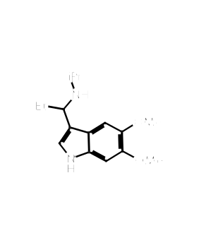 CCC(NC(C)C)c1c[nH]c2cc(OC)c(OC)cc12